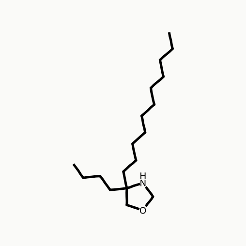 CCCCCCCCCCCC1(CCCC)COCN1